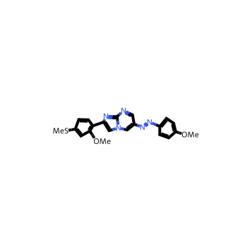 COc1ccc(/N=N/c2cnc3nc(-c4ccc(SC)cc4OC)cn3c2)cc1